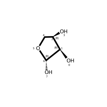 O[C@@H]1[C@H](O)CO[C@H]1O